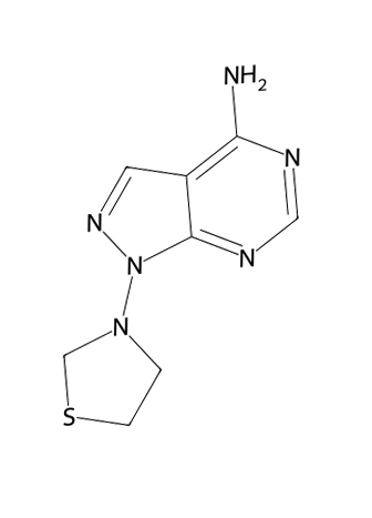 Nc1ncnc2c1cnn2N1CCSC1